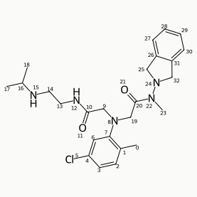 Cc1ccc(Cl)cc1N(CC(=O)NCCNC(C)C)CC(=O)N(C)N1Cc2ccccc2C1